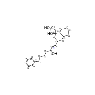 O=C(O)CC1(O)CC(/C=C/C(O)CCCCc2ccccc2)CC2CCCCC21